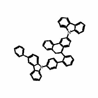 c1ccc(-c2ccc3c(c2)c2ccccc2n3-c2ccc(-c3ccccc3C3Cc4ccccc4-c4cc(-n5c6ccccc6c6ccccc65)ccc43)cc2)cc1